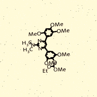 CCOC(OC)Oc1c(OC)cc(-c2cc(-c3cc(OC)c(OC)cc3OC)nc(N(C)C)n2)cc1OC